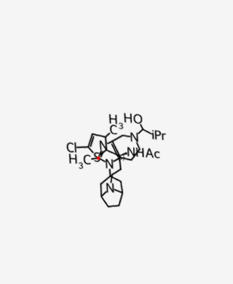 CC(=O)N[C@@H](CCN1C2CCC1CC(n1c(C)nc3c1CCN(C(O)C(C)C)C3)C2)C1SC(Cl)=CC1C